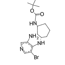 CC(C)(C)OC(=O)N[C@@H]1CCC[C@H](Nc2c(N)cncc2Br)C1